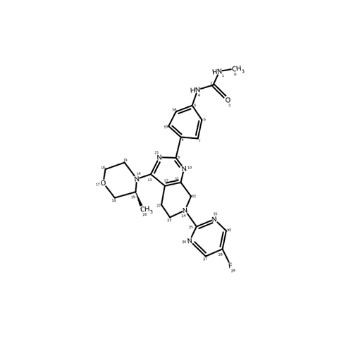 CNC(=O)Nc1ccc(-c2nc3c(c(N4CCOC[C@@H]4C)n2)CCN(c2ncc(F)cn2)C3)cc1